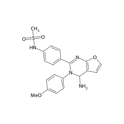 COc1ccc(N2C(c3ccc(NS(C)(=O)=O)cc3)=Nc3occc3C2N)cc1